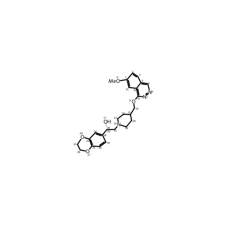 COc1ccc2cnnc(OCC3CCN(C[C@@H](O)c4ccc5c(c4)OCCO5)CC3)c2c1